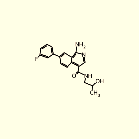 CC(O)CNC(=O)c1cnc(N)c2cc(-c3cccc(F)c3)ccc12